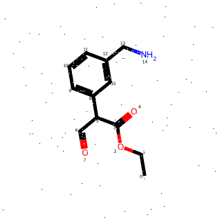 CCOC(=O)C(C=O)c1cccc(CN)c1